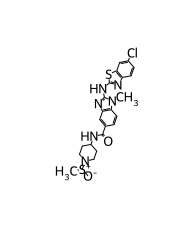 Cn1c(Nc2nc3ccc(Cl)cc3s2)nc2cc(C(=O)NC3CCN([S+](C)[O-])CC3)ccc21